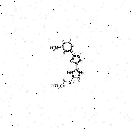 Nc1cccc(-c2ccc(-c3nnc(SCC(=O)O)[nH]3)o2)c1